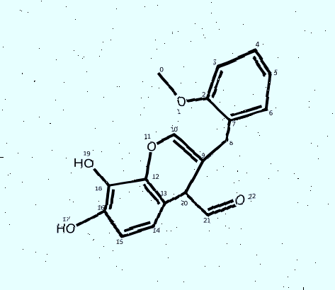 COc1ccccc1CC1=COc2c(ccc(O)c2O)C1C=O